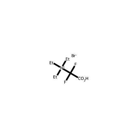 CC[N+](CC)(CC)C(F)(F)C(=O)O.[Br-]